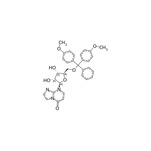 COc1ccc(C(OC[C@H]2O[C@@H](n3ccc(=O)n4ccnc34)[C@H](O)[C@@H]2O)(c2ccccc2)c2ccc(OC)cc2)cc1